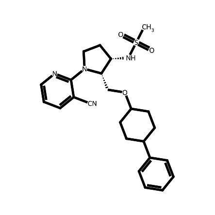 CS(=O)(=O)N[C@H]1CCN(c2ncccc2C#N)[C@H]1COC1CCC(c2ccccc2)CC1